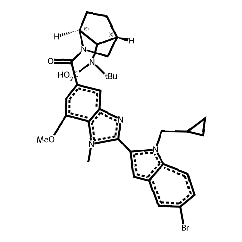 COc1cc(C(=O)N2C[C@H]3CC[C@H]2C3N(C(=O)O)C(C)(C)C)cc2nc(-c3cc4cc(Br)ccc4n3CC3CC3)n(C)c12